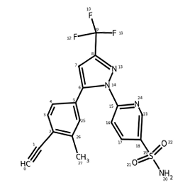 C#Cc1ccc(-c2cc(C(F)(F)F)nn2-c2ccc(S(N)(=O)=O)cn2)cc1C